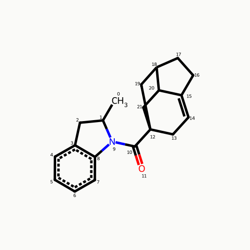 CC1Cc2ccccc2N1C(=O)C12CC=C3CCC(C1)C3C2